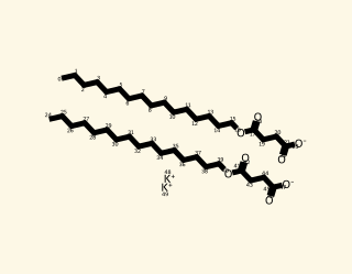 CCCCCCCCCCCCCCCCOC(=O)CCC(=O)[O-].CCCCCCCCCCCCCCCCOC(=O)CCC(=O)[O-].[K+].[K+]